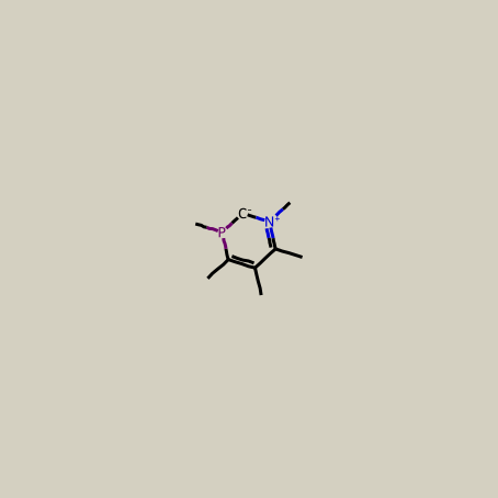 CC1=C(C)P(C)[CH-][N+](C)=C1C